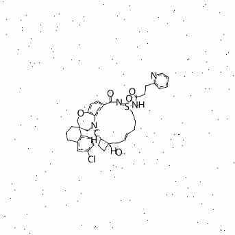 CO[C@H]1/C=C/CCC[S@@](=O)(NC(=O)CCc2ccccn2)=NC(=O)c2ccc3c(c2)N(C[C@@H]2CC[C@H]21)C[C@@]1(CCCc2cc(Cl)ccc21)CO3